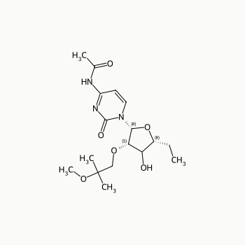 CC[C@H]1O[C@@H](n2ccc(NC(C)=O)nc2=O)[C@@H](OCC(C)(C)OC)C1O